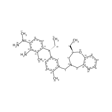 CC[C@@H]1CN(Cc2cc([C@@H](CC)c3ccc(N(C)N)c(N)c3C)ccc2C)Cc2ncccc2O1